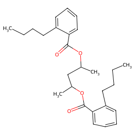 CCCCc1ccccc1C(=O)OC(C)CC(C)OC(=O)c1ccccc1CCCC